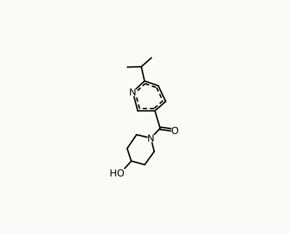 CC(C)c1ccc(C(=O)N2CCC(O)CC2)cn1